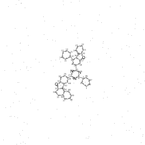 c1ccc(-c2nc(-c3cc(-c4ccccc4)c4c(c3)oc3ccccc34)nc(-c3ccc4oc5ccc6ccccc6c5c4c3)n2)cc1